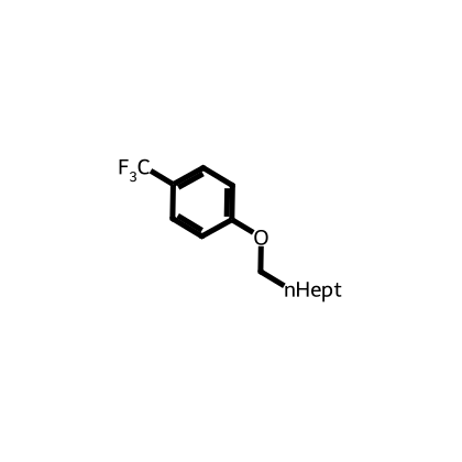 [CH2]CCCCCCCOc1ccc(C(F)(F)F)cc1